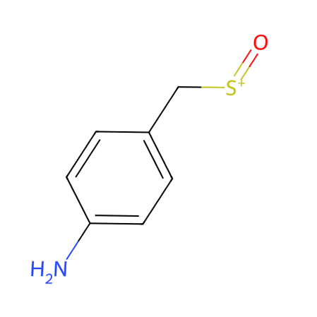 Nc1ccc(C[S+]=O)cc1